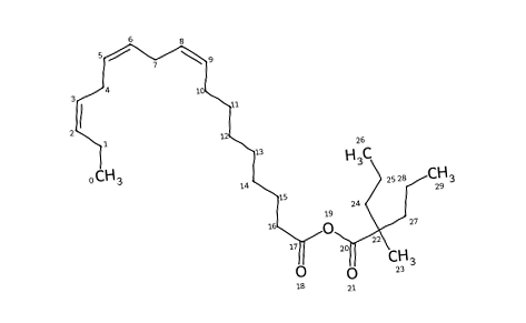 CC/C=C\C/C=C\C/C=C\CCCCCCCC(=O)OC(=O)C(C)(CCC)CCC